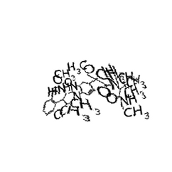 CCNC(=O)[C@H](NC(=O)C(C)(COC)c1ccc2nc([C@@H](NC(=O)OC)[C@H](c3c(F)cccc3Cl)C(C)C)[nH]c2c1)C(C)(C)C